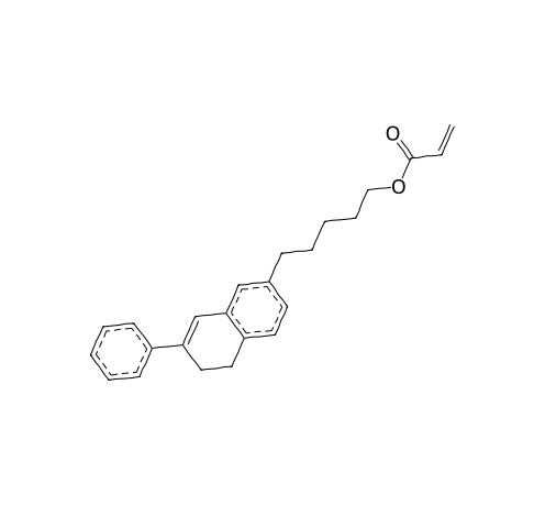 C=CC(=O)OCCCCCc1ccc2c(c1)C=C(c1ccccc1)CC2